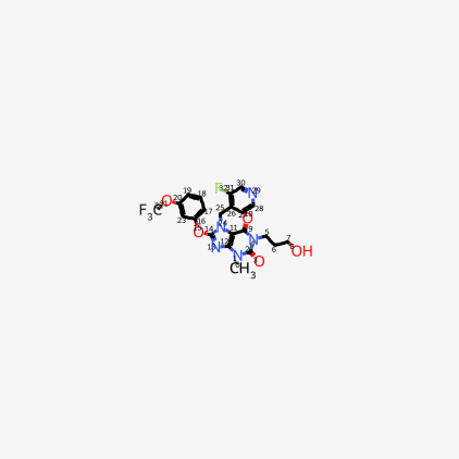 Cn1c(=O)n(CCCO)c(=O)c2c1nc(Oc1cccc(OC(F)(F)F)c1)n2Cc1ccncc1F